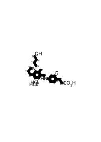 Cc1c(CNc2ccc(CCC(=O)O)c(F)c2)ccc2c1N(CCCCO)CCC2.Cl.Cl